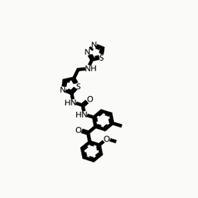 COc1ccccc1C(=O)c1cc(C)ccc1NC(=O)Nc1ncc(CNc2nncs2)s1